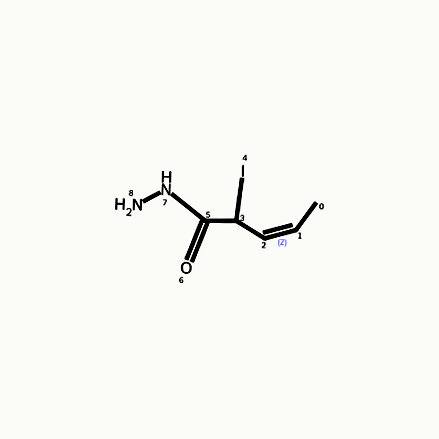 C/C=C\C(I)C(=O)NN